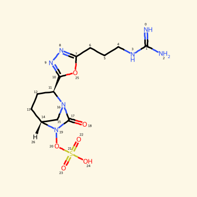 N=C(N)NCCCc1nnc([C@@H]2CC[C@@H]3CN2C(=O)N3OS(=O)(=O)O)o1